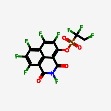 O=C1c2c(F)c(F)c(F)c3c(F)c(F)c(OS(=O)(=O)C(F)(F)CF)c(c23)C(=O)N1F